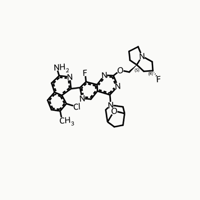 Cc1ccc2cc(N)nc(-c3ncc4c(N5CC6CCC(C5)O6)nc(OC[C@@]56CCCN5C[C@H](F)C6)nc4c3F)c2c1Cl